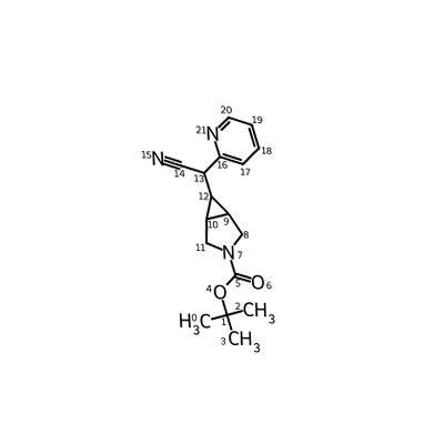 CC(C)(C)OC(=O)N1CC2C(C1)C2C(C#N)c1ccccn1